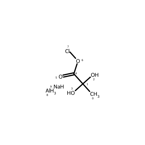 CC(O)(O)C(=O)OCl.[AlH3].[NaH]